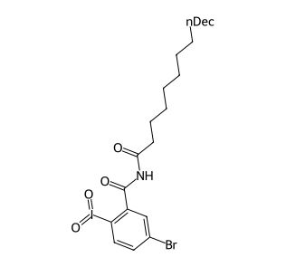 CCCCCCCCCCCCCCCCCC(=O)NC(=O)c1cc(Br)ccc1I(=O)=O